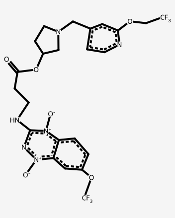 O=C(CCNc1n[n+]([O-])c2cc(OC(F)(F)F)ccc2[n+]1[O-])OC1CCN(Cc2ccnc(OCC(F)(F)F)c2)C1